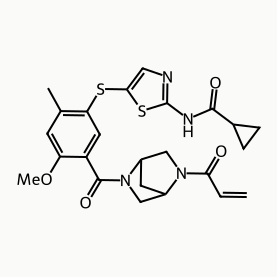 C=CC(=O)N1CC2CC1CN2C(=O)c1cc(Sc2cnc(NC(=O)C3CC3)s2)c(C)cc1OC